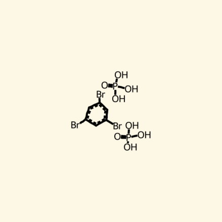 Brc1cc(Br)cc(Br)c1.O=P(O)(O)O.O=P(O)(O)O